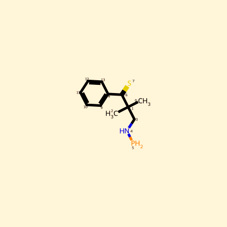 CC(C)(CNP)C(=S)c1ccccc1